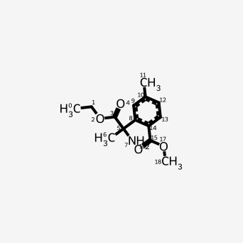 CCOC(=O)C(C)(N)c1cc(C)ccc1C(=O)OC